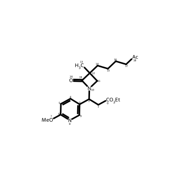 CCOC(=O)CC(c1ccc(OC)nc1)N1CC(C)(CCCCC(C)=O)C1=O